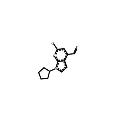 O=Cc1cc(Cl)nc2c1ccn2C1CCCC1